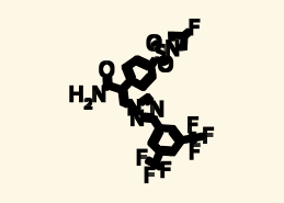 NC(=O)/C(=C/n1cnc(-c2cc(C(F)(F)F)cc(C(F)(F)F)c2)n1)c1ccc(S(=O)(=O)N2CC(F)C2)cc1